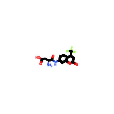 N[C@@H](CC(=O)O)C(=O)Nc1ccc2c(C(F)(F)F)cc(=O)oc2c1